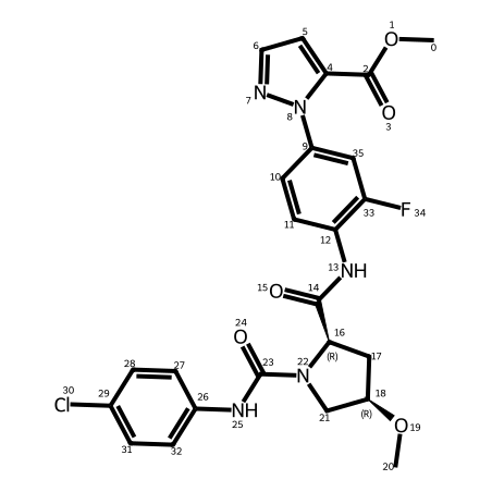 COC(=O)c1ccnn1-c1ccc(NC(=O)[C@H]2C[C@@H](OC)CN2C(=O)Nc2ccc(Cl)cc2)c(F)c1